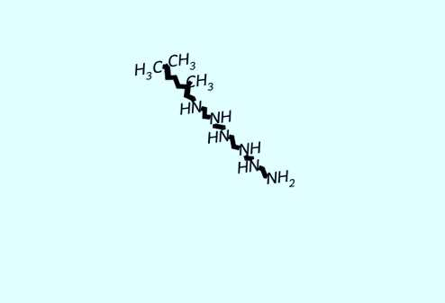 CC(C)=CCC/C(C)=C/CNCCNCCNCCNCCNCCN